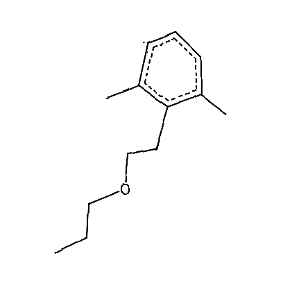 CCCOCCc1c(C)[c]ccc1C